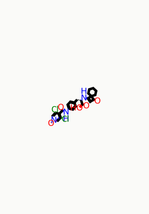 O=C(Nc1ccc(C[C@H](NC2=CC(=O)C23CCCCC3)C(=O)O)cc1)c1c(Cl)c[n+]([O-])cc1Cl